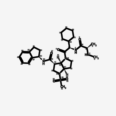 CN[C@@H](C)C(=O)N[C@H](C(=O)N1CC[C@@H]2[C@H]1[C@@H](C(=O)N[C@H]1CCc3ccccc31)CN2S(C)(=O)=O)C1CCCCC1